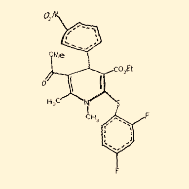 CCOC(=O)C1=C(Sc2ccc(F)cc2F)N(C)C(C)=C(C(=O)OC)C1c1cccc([N+](=O)[O-])c1